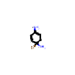 NC1=CCC(N)(Br)C=C1